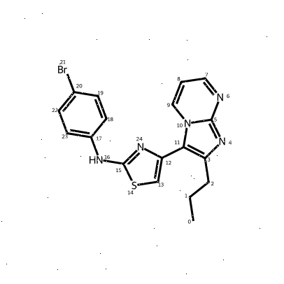 CCCc1nc2ncccn2c1-c1csc(Nc2ccc(Br)cc2)n1